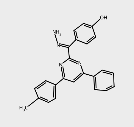 Cc1ccc(-c2cc(-c3ccccc3)nc(C(=NN)c3ccc(O)cc3)n2)cc1